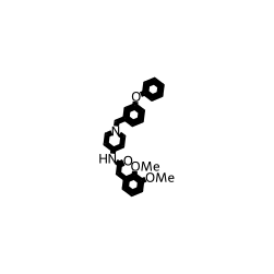 COc1cccc(CC(=O)NC2CCN(Cc3cccc(Oc4ccccc4)c3)CC2)c1OC